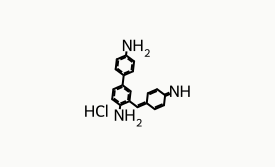 Cl.N=C1C=CC(=Cc2cc(-c3ccc(N)cc3)ccc2N)C=C1